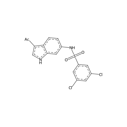 CC(=O)c1c[nH]c2cc(NS(=O)(=O)c3cc(Cl)cc(Cl)c3)ccc12